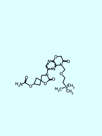 C[Si](C)(C)CCOCN1C(=O)COc2ncc(N3CC4(CC(OC(N)=O)C4)OC3=O)nc21